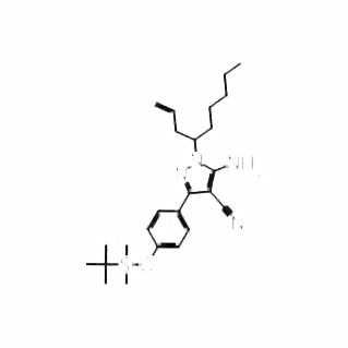 C=CCC(CCCCC)n1nc(-c2ccc(O[Si](C)(C)C(C)(C)C)cc2)c(C#N)c1N